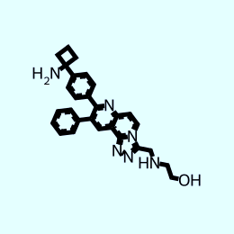 NC1(c2ccc(-c3nc4ccn5c(CNCCO)nnc5c4cc3-c3ccccc3)cc2)CCC1